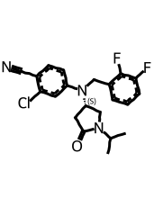 CC(C)N1C[C@@H](N(Cc2cccc(F)c2F)c2ccc(C#N)c(Cl)c2)CC1=O